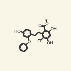 COC(=O)c1c(O)cc(O)c(Cl)c1CCc1ccc(O)cc1Oc1ccccc1